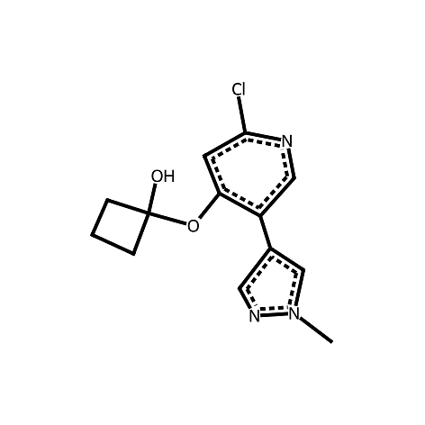 Cn1cc(-c2cnc(Cl)cc2OC2(O)CCC2)cn1